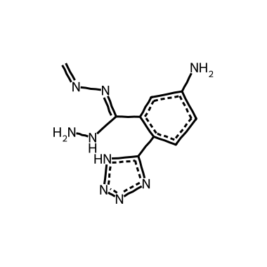 C=N/N=C(\NN)c1cc(N)ccc1-c1nnn[nH]1